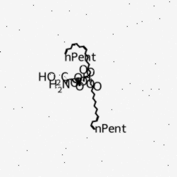 CCCCC/C=C\C/C=C\C/C=C\CCCCC(=O)O[C@H](COC(=O)CCCCCCC/C=C\C/C=C\CCCCC)COP(=O)(O)OC[C@H](N)C(=O)O